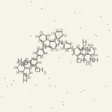 Cc1cc(-c2ccc(-n3c4ccccc4c4c5c6ccccc6n(-c6ccc(-c7cc(C)c(C8CCNC9CCCN(C)C98)c(C)c7)cc6)c5ccc43)cc2)cc(C)c1C1CCNC2CCCNC21